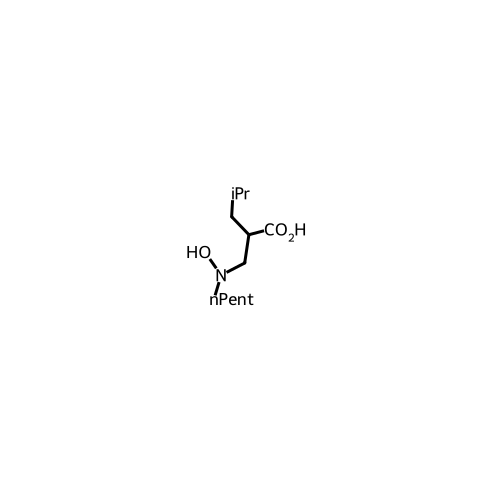 CCCCCN(O)CC(CC(C)C)C(=O)O